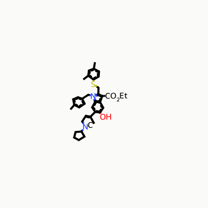 CCOC(=O)c1c(CSc2ccc(C)cc2C)n(Cc2ccc(C)cc2)c2cc(C3=CCN(C4CCCC4)CC3)c(O)cc12